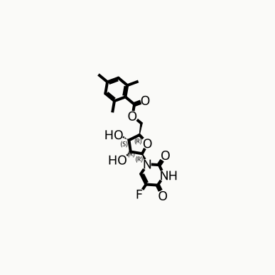 Cc1cc(C)c(C(=O)OC[C@H]2O[C@@H](n3cc(F)c(=O)[nH]c3=O)[C@H](O)[C@@H]2O)c(C)c1